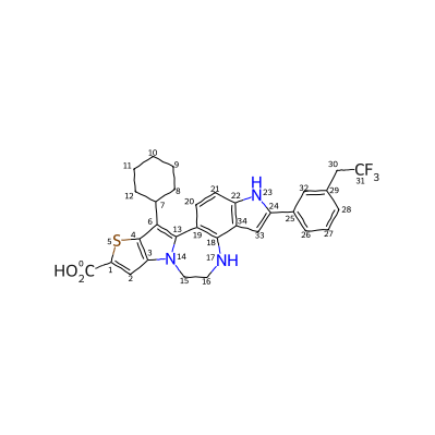 O=C(O)c1cc2c(s1)c(C1CCCCC1)c1n2CCNc2c-1ccc1[nH]c(-c3cccc(CC(F)(F)F)c3)cc21